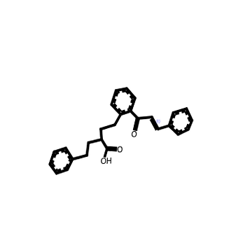 O=C(/C=C/c1ccccc1)c1ccccc1CCC(CCc1ccccc1)C(=O)O